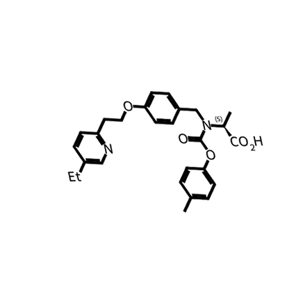 CCc1ccc(CCOc2ccc(CN(C(=O)Oc3ccc(C)cc3)[C@@H](C)C(=O)O)cc2)nc1